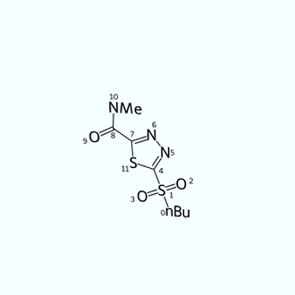 CCCCS(=O)(=O)c1nnc(C(=O)NC)s1